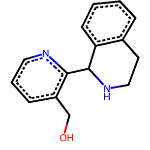 OCc1cccnc1C1NCCc2ccccc21